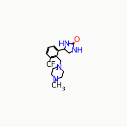 CN1CCN(Cc2c(C3CNC(=O)N3)cccc2C(F)(F)F)CC1